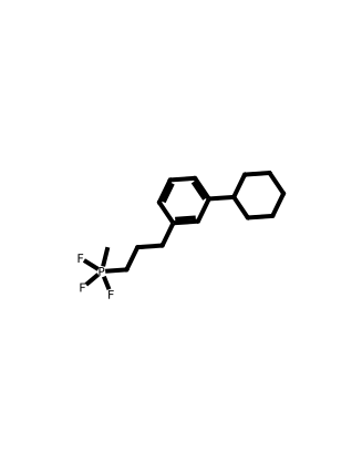 CP(F)(F)(F)CCCc1cccc(C2CCCCC2)c1